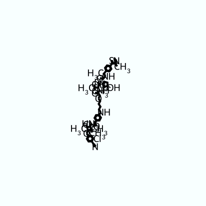 Cc1ncsc1-c1ccc([C@H](C)NC(=O)[C@@H]2C[C@@H](O)CN2C(=O)[C@@H](NC(=O)COCCCCNc2ccc(C(=O)NC3C(C)(C)C(Oc4ccc(C#N)c(Cl)c4)C3(C)C)cc2)C(C)(C)C)cc1